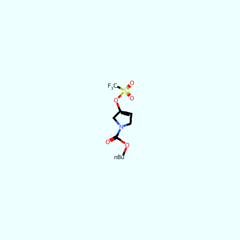 CCCCOC(=O)N1CC=C(OS(=O)(=O)C(F)(F)F)C1